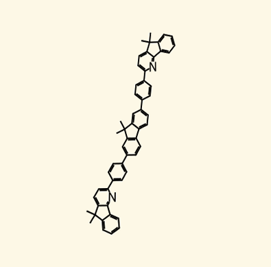 CC1(C)c2cc(-c3ccc(-c4ccc5c(n4)-c4ccccc4C5(C)C)cc3)ccc2-c2ccc(-c3ccc(-c4ccc5c(n4)-c4ccccc4C5(C)C)cc3)cc21